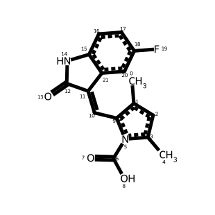 Cc1cc(C)n(C(=O)O)c1C=C1C(=O)Nc2ccc(F)cc21